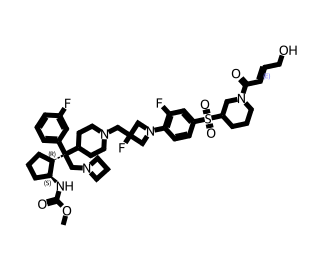 COC(=O)N[C@H]1CCC[C@@H]1C(CN1CCC1)(c1cccc(F)c1)C1CCN(CC2(F)CN(c3ccc(S(=O)(=O)C4CCCN(C(=O)/C=C/CO)C4)cc3F)C2)CC1